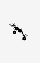 CS(=O)(=O)NC(=O)c1ccc(-c2ccc(CCNC[C@H](O)c3ccccc3)cc2)cc1SC1CCCC1.Cl